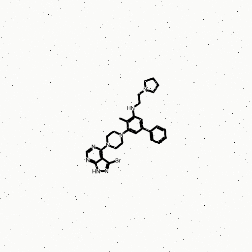 Cc1c(NCCN2CCCC2)cc(-c2ccccc2)cc1N1CCN(c2ncnc3[nH]nc(Br)c23)CC1